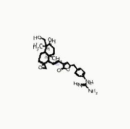 C[C@]12CC[C@@H](O)[C@@](C)(CO)C1CCC1(CO1)C2/C=C/C1=CC(Cc2ccc(NC(=N)N)cc2)OC1=O